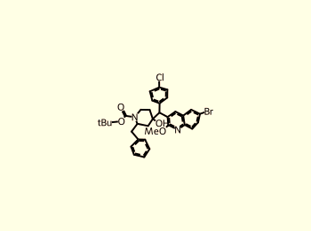 COc1nc2ccc(Br)cc2cc1C(c1ccc(Cl)cc1)C1(O)CCN(C(=O)OC(C)(C)C)C(Cc2ccccc2)C1